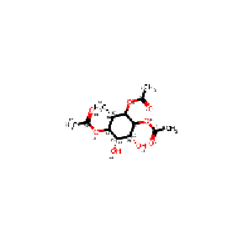 CC(=O)OC1C(OC(C)=O)[C@H](O)[C@H](O)C(OC(C)=O)[C@@H]1C